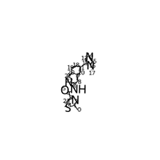 Cc1nc(C(=O)Nc2cc3cc(-c4cncn4C)ccc3cn2)cs1